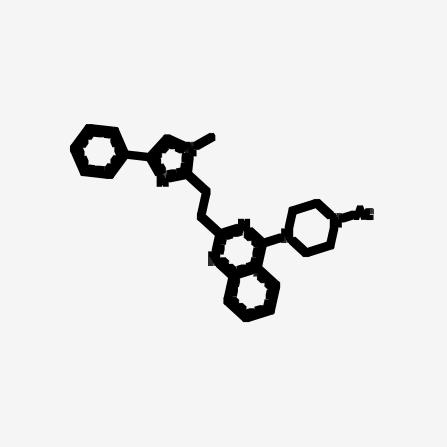 CC(=O)N1CCN(c2nc(CCc3nc(-c4ccccc4)cn3C)nc3ccccc23)CC1